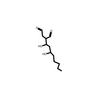 CCCCCC(O)CC(O)C([C]=O)CC=O